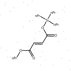 CCCOC(=O)C=CC(=O)O[Si](CCC)(CCC)CCC